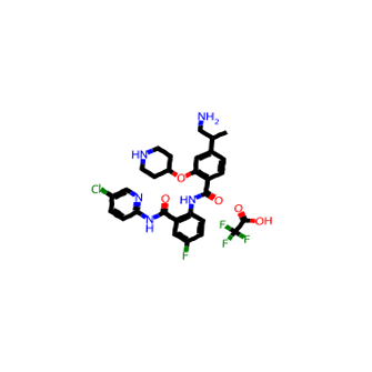 CC(CN)c1ccc(C(=O)Nc2ccc(F)cc2C(=O)Nc2ccc(Cl)cn2)c(OC2CCNCC2)c1.O=C(O)C(F)(F)F